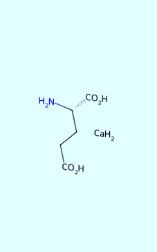 N[C@@H](CCC(=O)O)C(=O)O.[CaH2]